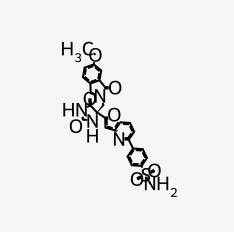 COc1ccc2c(c1)C(=O)N(C[C@@]1(c3cc4nc(-c5ccc(S(N)(=O)=O)cc5)ccc4o3)NC(=O)NC1=O)C2